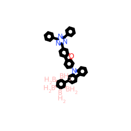 Bc1c(B)c(B)c(-c2ccc3c4ccccc4n(-c4ccc5c(c4)oc4cc(-c6nc(-c7ccccc7)nc(-c7ccccc7)n6)ccc45)c3c2)c(B)c1B